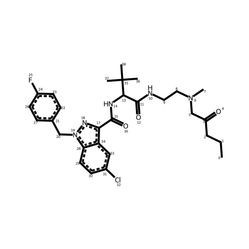 CCCC(=O)CN(C)CCNC(=O)C(NC(=O)c1nn(Cc2ccc(F)cc2)c2ccc(Cl)cc12)C(C)(C)C